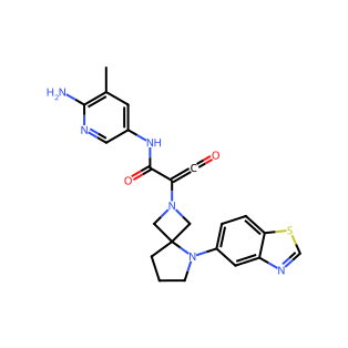 Cc1cc(NC(=O)C(=C=O)N2CC3(CCCN3c3ccc4scnc4c3)C2)cnc1N